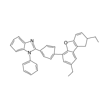 CCc1cc(-c2ccc(-c3nc4ccccc4n3-c3ccccc3)cc2)c2oc3c(c2c1)CC(CC)C=C3